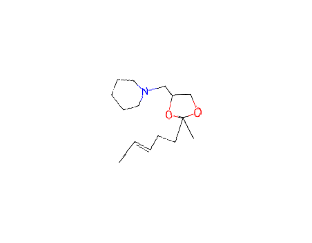 CC=CCCC1(C)OCC(CN2CCCCC2)O1